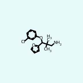 CC(C)(CN)C(Oc1cccc(Cl)c1)c1ccco1